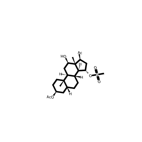 CC(=O)O[C@H]1CC[C@@]2(C)[C@H](CC[C@H]3[C@@H]4[C@@H](OS(C)(=O)=O)C[C@H](C(C)=O)[C@@]4(C)[C@H](O)C[C@@H]32)C1